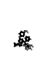 CN1CCC(Oc2cc(N(C(=O)OC(C)(C)C)c3ccccc3)c3ncc(C4CC4)n3n2)CC1